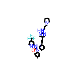 O=C(Nc1cc(C(F)(F)F)ccn1)N(c1cc[c]cc1)c1cccc(C#Cc2cnc(NCCCN3CCCCC3)nc2)c1